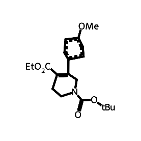 CCOC(=O)C1=C(c2ccc(OC)cc2)CN(C(=O)OC(C)(C)C)CC1